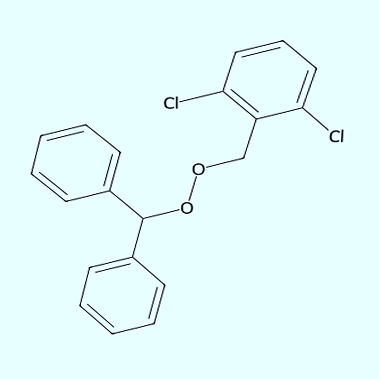 Clc1cccc(Cl)c1COOC(c1ccccc1)c1ccccc1